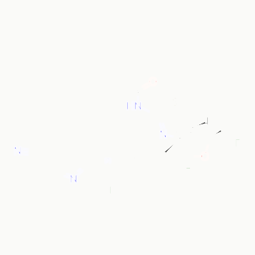 N#Cc1ccc(/C(F)=C/c2ccc(F)c([C@]34CO[C@H](CF)[C@H]3CSC(NC(=O)c3ccccc3)=N4)c2)nc1